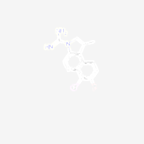 CC1CN(C(=N)N)c2ccc3c(Cl)c(F)ccc3c21